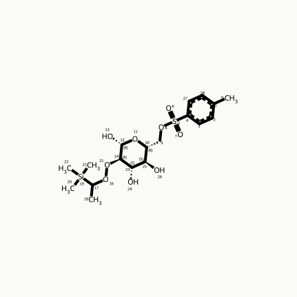 Cc1ccc(S(=O)(=O)OC[C@H]2O[C@@H](O)[C@H](OOC(C)[Si](C)(C)C)[C@@H](O)[C@@H]2O)cc1